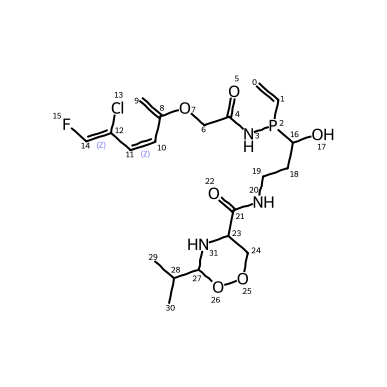 C=CP(NC(=O)COC(=C)/C=C\C(Cl)=C\F)C(O)CCNC(=O)C1COOC(C(C)C)N1